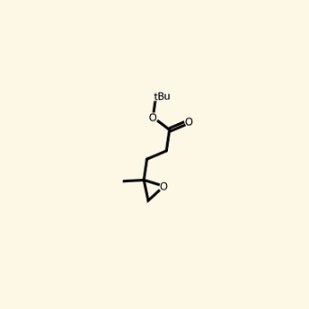 CC(C)(C)OC(=O)CCC1(C)CO1